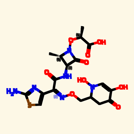 C[C@H](ON1C(=O)[C@@H](NC(=O)/C(=N\OCC2CC(=O)C(O)=CN2O)c2csc(N)n2)[C@@H]1C)C(=O)O